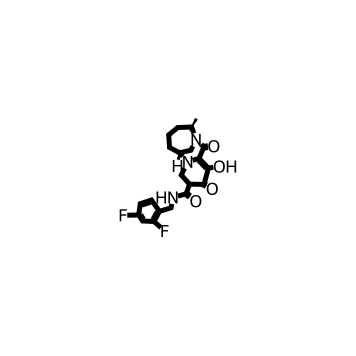 C[C@@H]1CCC[C@@H]2CN1C(=O)C1=C(O)C(=O)C(C(=O)NCc3ccc(F)cc3F)CN12